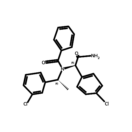 C[C@H](c1cccc(Cl)c1)N(C(=O)c1ccccc1)[C@@H](C(N)=O)c1ccc(Cl)cc1